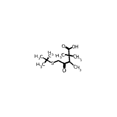 CC(C(=O)CSC(C)(C)C)C(C)(C)C(=O)O